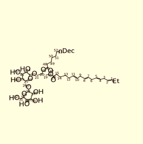 CC/C=C/C/C=C/C/C=C/C/C=C/CCCCC(=O)OC[C@H](CO[C@@H]1O[C@H](CO[C@@H]2O[C@H](CO)[C@H](O)C(O)C2O)[C@H](O)C(O)C1O)OC(=O)CCCCCCCCCCCCCCC